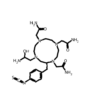 NC(=O)CN1CCN(CC(N)=O)CCN(CC(N)=O)C(Cc2ccc(N=C=S)cc2)CN(CC(N)O)CC1